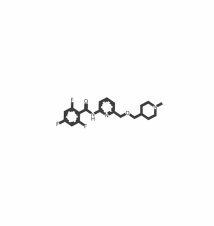 CN1CCC(COCc2cccc(NC(=O)c3c(F)cc(F)cc3F)n2)CC1